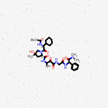 CCCC(NC(=O)[C@@H]1CC(C)(O)CN1C(=O)[C@@H](NC(=O)OCC(C)C)C1CCCCC1)C(=O)C(=O)NCC(=O)NC(C(=O)N(C)C)c1ccccc1